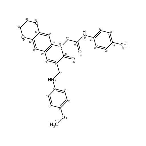 COc1ccc(NCc2cc3cc4c(cc3n(CC(=O)Nc3ccc(C)cc3)c2=O)OCCO4)cc1